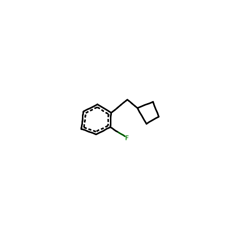 Fc1ccccc1CC1CCC1